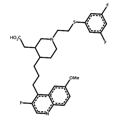 COc1ccc2ncc(F)c(CCCC3CCN(CCSc4cc(F)cc(F)c4)CC3CC(=O)O)c2c1